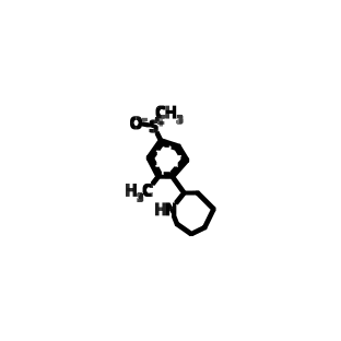 Cc1cc([S+](C)[O-])ccc1C1CCCCCN1